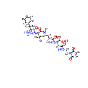 CN[C@H](C(=O)NC(C(=O)N(C)C/C=C(\C)C(=O)N[C@H](CC(=O)NCCN1C(=O)C=CC1=O)C(=O)O)C(C)(C)C)C(C)(C)c1ccccc1